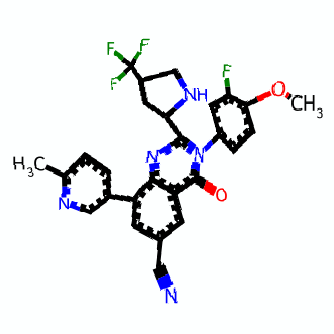 COc1ccc(-n2c(C3CC(C(F)(F)F)CN3)nc3c(-c4ccc(C)nc4)cc(C#N)cc3c2=O)cc1F